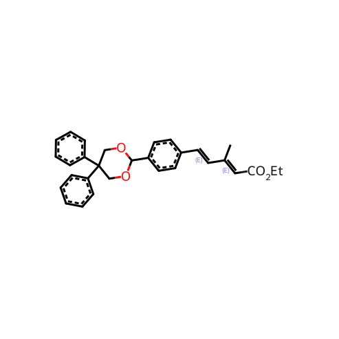 CCOC(=O)/C=C(C)/C=C/c1ccc(C2OCC(c3ccccc3)(c3ccccc3)CO2)cc1